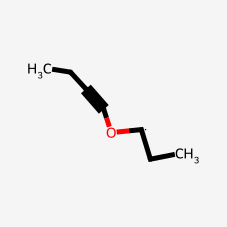 CCC#CO[CH]CC